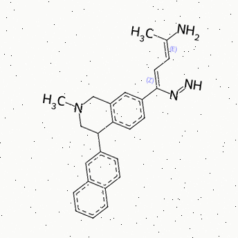 C/C(N)=C\C=C(/N=N)c1ccc2c(c1)CN(C)CC2c1ccc2ccccc2c1